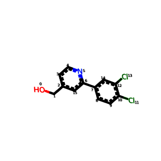 OCc1ccnc(-c2ccc(Cl)c(Cl)c2)c1